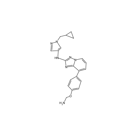 NCOc1ccc(-c2cccn3nc(Nc4cnn(CC5CC5)c4)nc23)cc1